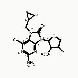 CC(=O)OC1C(F)COC1n1c(=O)n(CC2CC2)c2c(Cl)nc(N)nc21